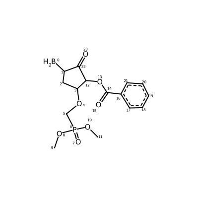 BC1CC(OCP(=O)(OC)OC)C(OC(=O)c2ccccc2)C1=O